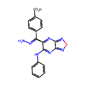 NN=C(c1ccc(C(=O)O)cc1)c1nc2nonc2nc1Nc1ccccc1